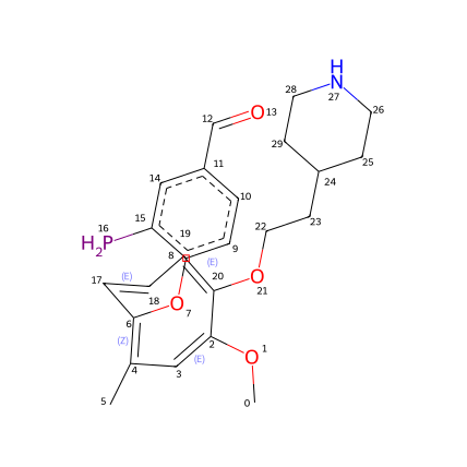 COC1=C/C(C)=C(Oc2ccc(C=O)cc2P)/C=C/C=C\1OCCC1CCNCC1